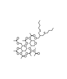 CCCCSCC(CO[C@@H]1O[C@H](COC(C)=O)[C@H](O[C@H]2O[C@H](COC(C)=O)[C@H](OC(C)=O)[C@H](OC(C)=O)[C@H]2OC(C)=O)[C@H](OC(C)=O)[C@H]1OC(C)=O)CSCCCC